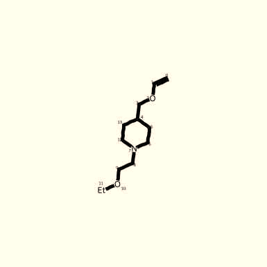 C=COCC1CCN(CCOCC)CC1